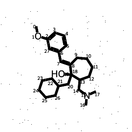 COc1cccc(C=C2CCCCC(CN(C)C)C2(O)CC2CCCCC2)c1